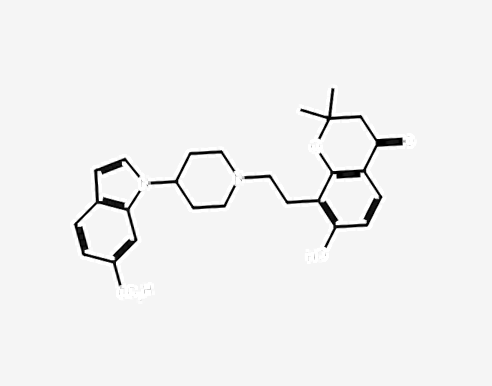 CC1(C)CC(=O)c2ccc(O)c(CCN3CCC(n4ccc5ccc(C(=O)O)cc54)CC3)c2O1